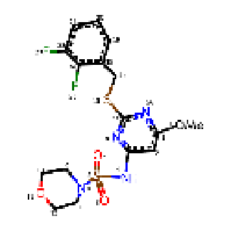 COc1cc(NS(=O)(=O)N2CCOCC2)nc(SCc2cccc(F)c2F)n1